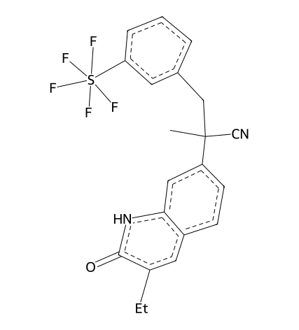 CCc1cc2ccc(C(C)(C#N)Cc3cccc(S(F)(F)(F)(F)F)c3)cc2[nH]c1=O